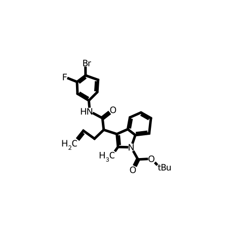 C=CCC(C(=O)Nc1ccc(Br)c(F)c1)c1c(C)n(C(=O)OC(C)(C)C)c2ccccc12